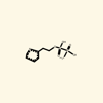 CP(=O)(O)P(=O)(O)OCCc1ccccn1